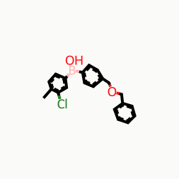 Cc1ccc(B(O)c2ccc(COCc3ccccc3)cc2)cc1Cl